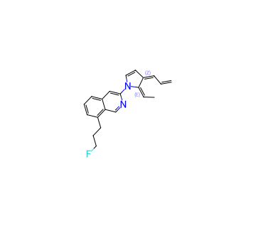 C=C/C=c1/ccn(-c2cc3cccc(CCCF)c3cn2)/c1=C/C